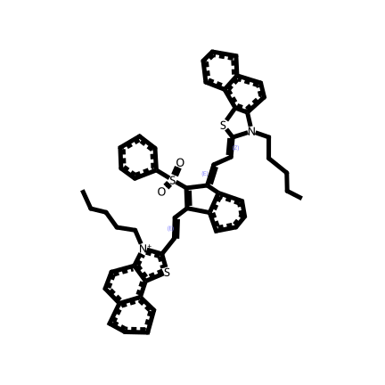 CCCCCN1/C(=C/C=C2C(S(=O)(=O)c3ccccc3)=C(/C=C/c3sc4c5ccccc5ccc4[n+]3CCCCC)c3ccccc3/2)Sc2c1ccc1ccccc21